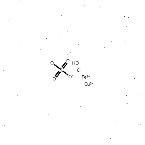 O=S(=O)([O-])[O-].[Cl-].[Cu+2].[Fe+2].[OH-]